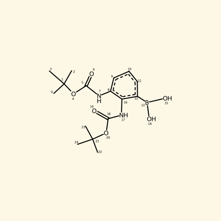 CC(C)(C)OC(=O)Nc1cccc(B(O)O)c1NC(=O)OC(C)(C)C